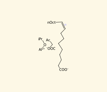 CC(=O)CC(=O)[O-].CC(C)[O][Al+2].CCCCCCCC/C=C\CCCCCCCC(=O)[O-]